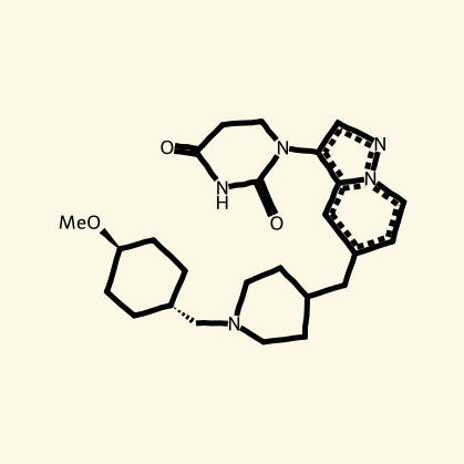 CO[C@H]1CC[C@H](CN2CCC(Cc3ccn4ncc(N5CCC(=O)NC5=O)c4c3)CC2)CC1